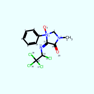 CN1C[N+]([O-])(c2ccccc2)C(=NC(Cl)C(Cl)(Cl)Cl)C1=O